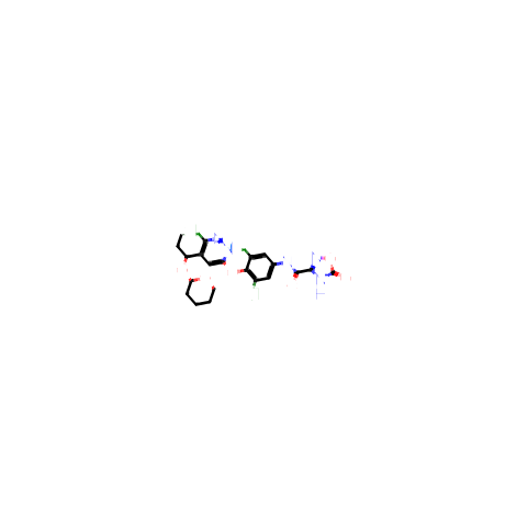 CCC(OC1CCCCO1)c1cc(Oc2c(Cl)cc(NC(=O)c3noc(=O)[nH]3)cc2Cl)nnc1Cl